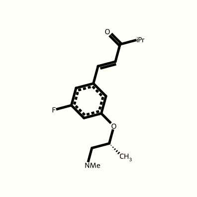 CNC[C@@H](C)Oc1cc(F)cc(/C=C/C(=O)C(C)C)c1